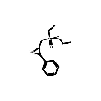 CCOP(=O)(CC)OC1NC1c1ccccc1